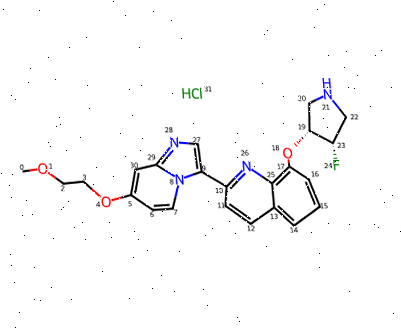 COCCOc1ccn2c(-c3ccc4cccc(O[C@@H]5CNC[C@@H]5F)c4n3)cnc2c1.Cl